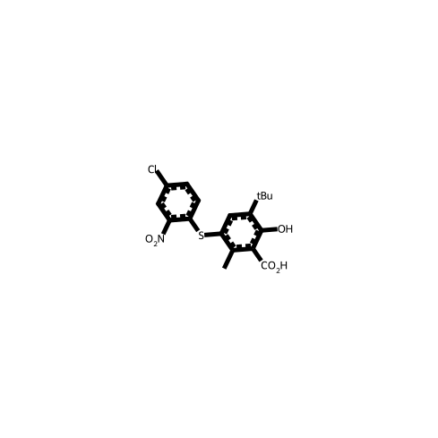 Cc1c(Sc2ccc(Cl)cc2[N+](=O)[O-])cc(C(C)(C)C)c(O)c1C(=O)O